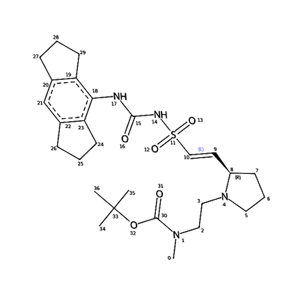 CN(CCN1CCC[C@@H]1/C=C/S(=O)(=O)NC(=O)Nc1c2c(cc3c1CCC3)CCC2)C(=O)OC(C)(C)C